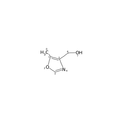 Cc1ocnc1CO